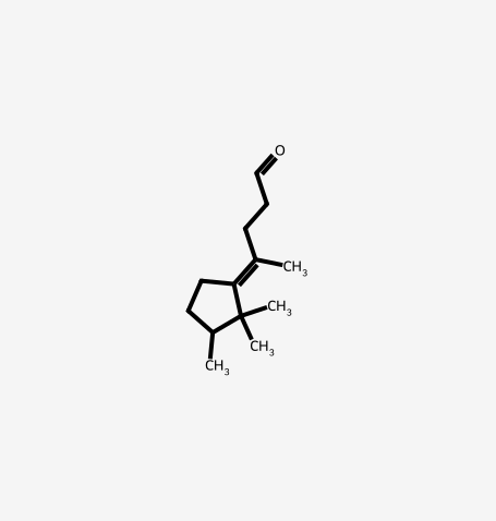 C/C(CCC=O)=C1/CCC(C)C1(C)C